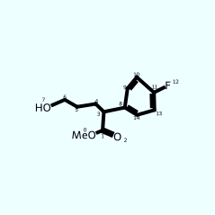 COC(=O)C(CCCO)c1ccc(F)cc1